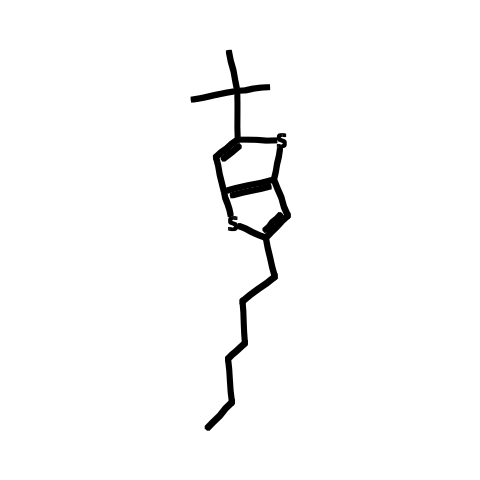 CCCCCCc1cc2sc(C(C)(C)C)cc2s1